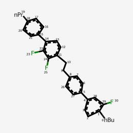 CCCCc1ccc(-c2ccc(CCc3ccc(-c4ccc(CCC)cc4)c(F)c3F)cc2)cc1F